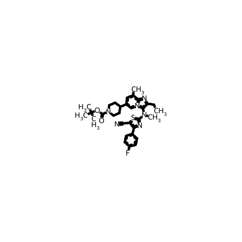 CCc1nc2c(C)cc(C3CCN(C(=O)OC(C)(C)C)CC3)cn2c1N(C)c1nc(-c2ccc(F)cc2)c(C#N)s1